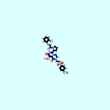 N#Cc1ccc(S(=O)(=O)CCN2CCn3c(C4CCCN4C(=O)CSc4ccccc4Cl)nc(=O)c(O)c3C2=O)cc1